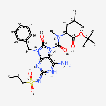 CCCS(=O)(=O)N=c1nc2c(c(N)[nH]1)n(C(=O)N(C)C(CC(C)C)C(=O)OC(C)(C)C)c(=O)n2Cc1ccccc1